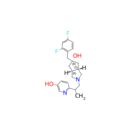 CC(CN1C[C@@H]2C[C@@](O)(Cc3ccc(F)cc3F)C[C@@H]2C1)c1ccc(O)cn1